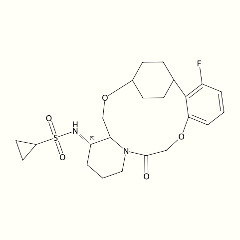 O=C1COc2cccc(F)c2C2CCC(CC2)OCC2[C@@H](NS(=O)(=O)C3CC3)CCCN12